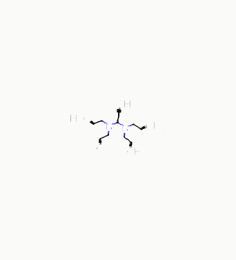 C#CC(N(CC=C)CC=C)N(CC=C)CC=C